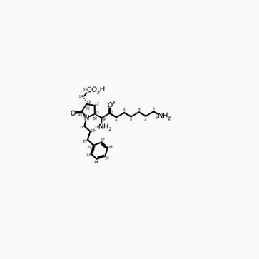 NCCCCCCC(=O)C(N)[C@@H]1C[C@@H](CC(=O)O)C(=O)N1CCCc1ccccc1